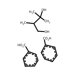 CC(CO)C(C)(C)O.O=C(O)c1ccccc1.O=C(O)c1ccccc1